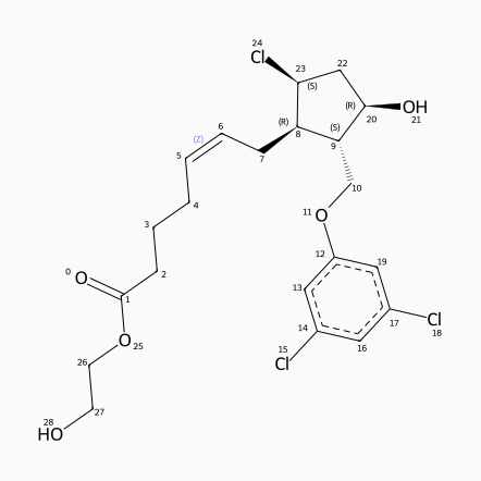 O=C(CCC/C=C\C[C@@H]1[C@@H](COc2cc(Cl)cc(Cl)c2)[C@H](O)C[C@@H]1Cl)OCCO